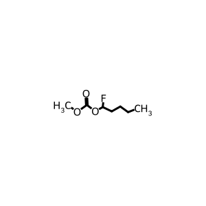 CCCCC(F)OC(=O)OC